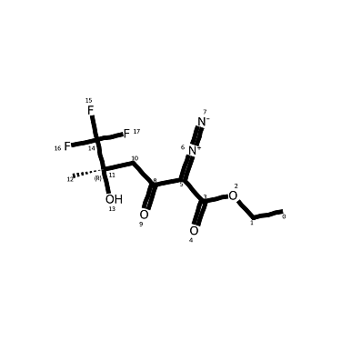 CCOC(=O)C(=[N+]=[N-])C(=O)C[C@@](C)(O)C(F)(F)F